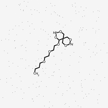 CCCCOCCOCCOC1OPOCC12COPOC2